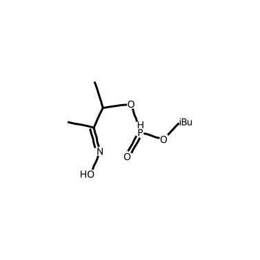 CCC(C)O[PH](=O)OC(C)C(C)=NO